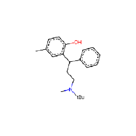 Cc1ccc(O)c(C(CCN(C)C(C)(C)C)c2ccccc2)c1